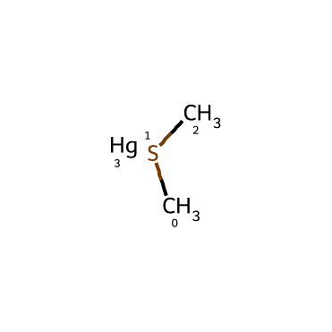 CSC.[Hg]